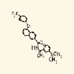 C[C@@H](NC(=O)c1ccc2c(Oc3ccc(C(F)(F)F)cc3)cccc2c1)c1cc(N(C)C)ccn1